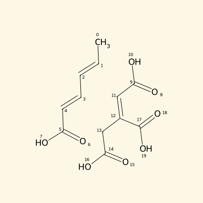 CC=CC=CC(=O)O.O=C(O)C=C(CC(=O)O)C(=O)O